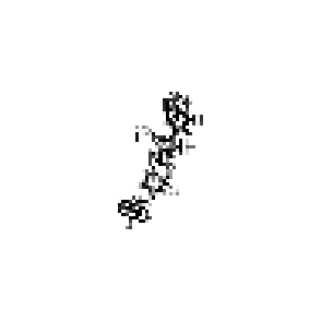 Cc1c(-c2[nH]c3sc(N4CCN(CCS(C)(=O)=O)CC4(C)C)nc3c2C(C)C)cn2ncnc2c1C